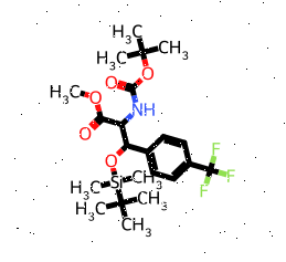 COC(=O)C(NC(=O)OC(C)(C)C)C(O[Si](C)(C)C(C)(C)C)c1ccc(C(F)(F)F)cc1